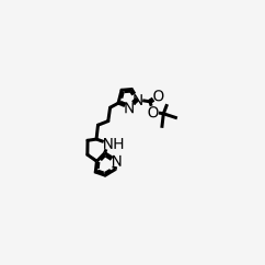 CC(C)(C)OC(=O)n1ccc(CCCC2CCc3cccnc3N2)n1